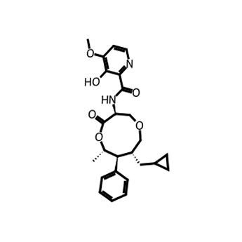 COc1ccnc(C(=O)N[C@H]2COC[C@H](CC3CC3)[C@@H](c3ccccc3)[C@H](C)OC2=O)c1O